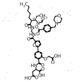 CCCCCC(C(=O)NCNC(=O)c1ccc(-c2ccc(C(=O)NC(CC(=O)O)C(=O)O)c(OCC(=O)O)c2)o1)[C@@H](CC)N(C=O)OC(=O)c1ccc(CN2CCOCC2)cc1